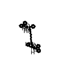 O=C(NC(CNCCCCCCCCCNC(=O)C(Cc1ccccc1)NC(=O)OC1c2ccccc2-c2ccccc21)Cc1ccccc1)OC1c2ccccc2-c2ccccc21